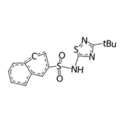 CC(C)(C)c1nsc(NS(=O)(=O)c2ccc3ccccc3c2)n1